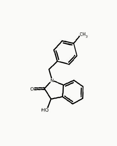 Cc1ccc(CN2C(=O)C(O)c3ccccc32)cc1